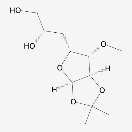 CO[C@@H]1[C@H]2OC(C)(C)O[C@H]2O[C@@H]1C[C@H](O)CO